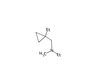 CCN(C)CC1(CC)CC1